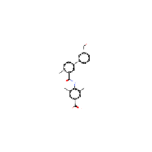 Cc1ccc(-c2cccc(CO)c2)cc1C(=O)Nc1c(C)cc(C(=O)O)cc1C